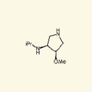 CO[C@@H]1CNC[C@@H]1NC(C)C